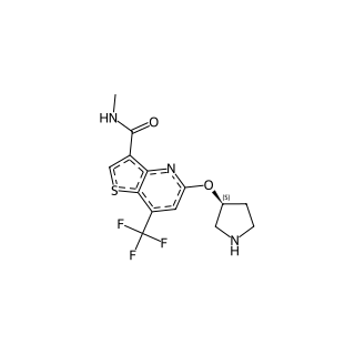 CNC(=O)c1csc2c(C(F)(F)F)cc(O[C@H]3CCNC3)nc12